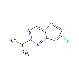 CC(C)c1ncc2ccc(F)cc2n1